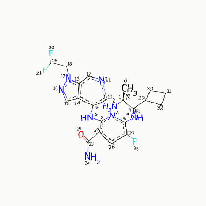 C[C@H](N)[C@H](Nc1nc(Nc2cncc3c2cnn3CC(F)F)c(C(N)=O)cc1F)C1CCC1